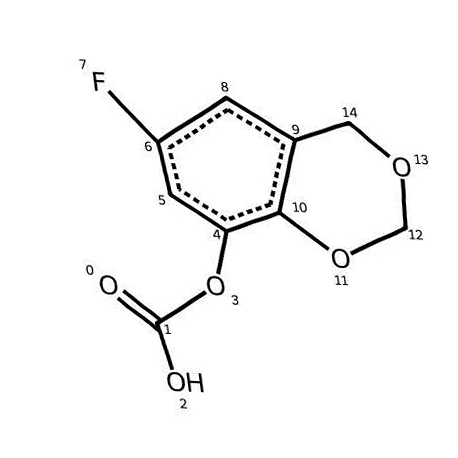 O=C(O)Oc1cc(F)cc2c1OCOC2